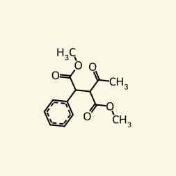 COC(=O)C(C(C)=O)C(C(=O)OC)c1ccccc1